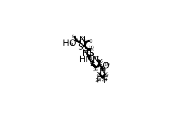 Cc1nc(C(C)O)sc1-c1csc(Nc2ccc(C(=O)N3CC(F)(F)C3)cn2)n1